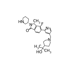 C[C@@H]1c2c(ccc(-c3cc(CN4CCC(C(C)(C)O)CC4)ccn3)c2F)C(=O)N1[C@H]1CCCNC1